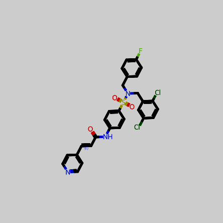 O=C(/C=C/c1ccncc1)Nc1ccc(S(=O)(=O)N(Cc2ccc(F)cc2)Cc2cc(Cl)ccc2Cl)cc1